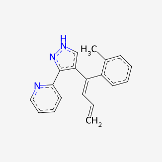 C=C/C=C(\c1ccccc1C)c1c[nH]nc1-c1ccccn1